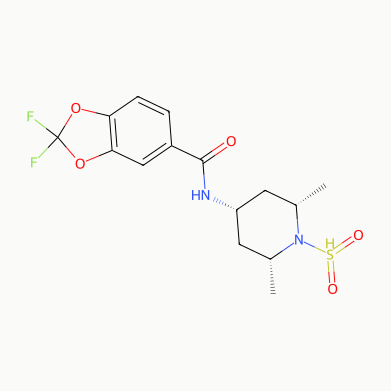 C[C@@H]1C[C@H](NC(=O)c2ccc3c(c2)OC(F)(F)O3)C[C@H](C)N1[SH](=O)=O